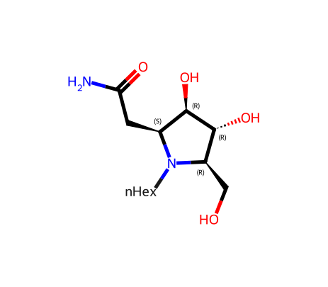 CCCCCCN1[C@H](CO)[C@@H](O)[C@H](O)[C@@H]1CC(N)=O